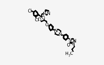 CCCCn1ncn(-c2ccc(N3CCN(c4ccc(OCC5COC(Cn6ccnc6)(c6ccc(Cl)cc6Cl)O5)cc4)CC3)cc2)c1=O